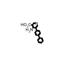 Nc1c(C(=O)O)cncc1-c1ccc(-c2ccccc2)cc1